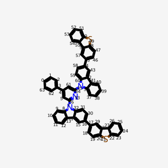 c1ccc(-c2cc(-n3c4ccccc4c4cc(-c5ccc6sc7ccccc7c6c5)ccc43)nc(-n3c4ccccc4c4cc(-c5ccc6sc7ccccc7c6c5)ccc43)c2)cc1